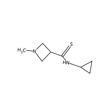 CN1CC(C(=S)NC2CC2)C1